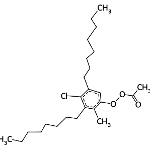 CCCCCCCCc1cc(OOC(C)=O)c(C)c(CCCCCCCC)c1Cl